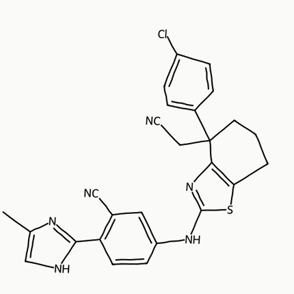 Cc1c[nH]c(-c2ccc(Nc3nc4c(s3)CCCC4(CC#N)c3ccc(Cl)cc3)cc2C#N)n1